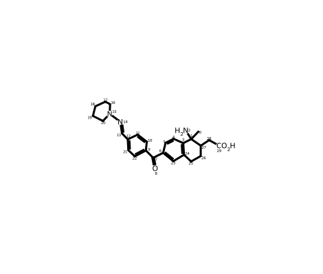 CC1(N)c2ccc(C(=O)c3ccc(C=NN4CCCCC4)cc3)cc2CCC1CC(=O)O